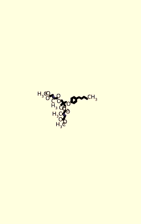 CCCCCc1ccc(OCC(CC)(COC(=O)/C(C)=C/C(=O)OC)COC(=O)/C(C)=C/C(=O)OC)cc1